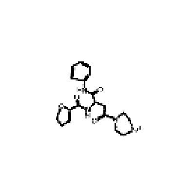 O=C(NC(CC(=O)N1CCNCC1)C(=O)Nc1ccccc1)C1=CCCO1